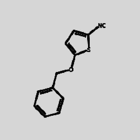 [C-]#[N+]c1ccc(OCc2ccccc2)s1